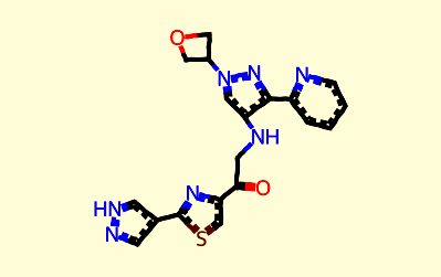 O=C(CNc1cn(C2COC2)nc1-c1ccccn1)c1csc(-c2cn[nH]c2)n1